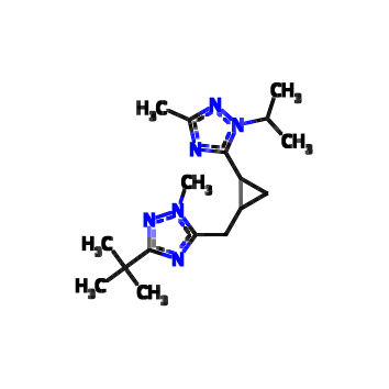 Cc1nc(C2CC2Cc2nc(C(C)(C)C)nn2C)n(C(C)C)n1